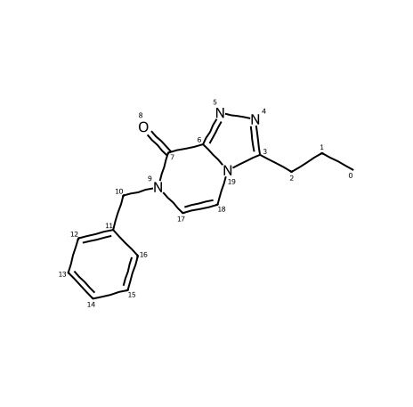 CCCc1nnc2c(=O)n(Cc3ccccc3)ccn12